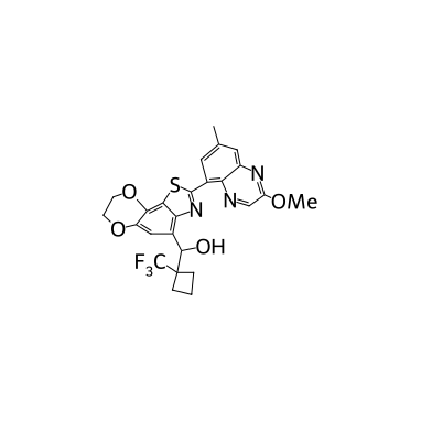 COc1cnc2c(-c3nc4c(C(O)C5(C(F)(F)F)CCC5)cc5c(c4s3)OCCO5)cc(C)cc2n1